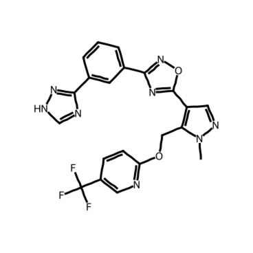 Cn1ncc(-c2nc(-c3cccc(-c4nc[nH]n4)c3)no2)c1COc1ccc(C(F)(F)F)cn1